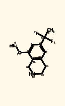 CCCCOc1cc(C(C)(F)F)cc2c1CNCC2